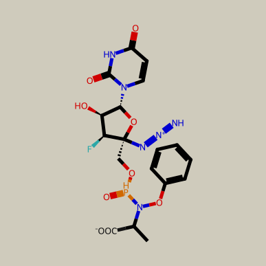 CC(C(=O)[O-])N(Oc1ccccc1)[PH](=O)OC[C@@]1(N=[N+]=N)O[C@@H](n2ccc(=O)[nH]c2=O)[C@H](O)[C@@H]1F